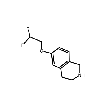 FC(F)COc1ccc2c(c1)CCNC2